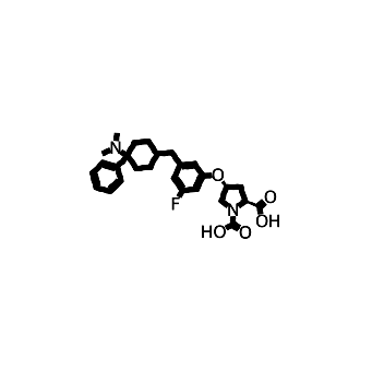 CN(C)C1(c2ccccc2)CCC(Cc2cc(F)cc(O[C@H]3C[C@@H](C(=O)O)N(C(=O)O)C3)c2)CC1